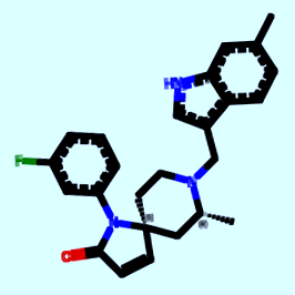 Cc1ccc2c(CN3CC[C@@]4(C=CC(=O)N4c4cccc(F)c4)C[C@H]3C)c[nH]c2c1